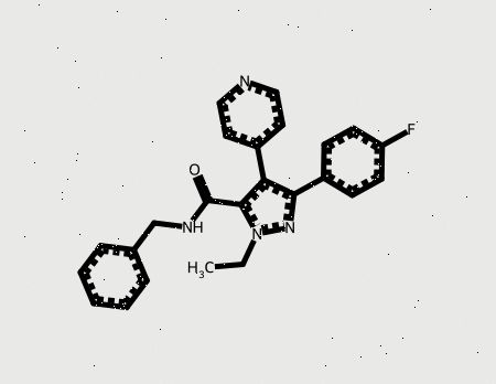 CCn1nc(-c2ccc(F)cc2)c(-c2ccncc2)c1C(=O)NCc1ccccc1